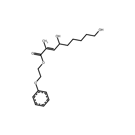 CC(=CC(O)CCCCCO)C(=O)OCCOc1ccccc1